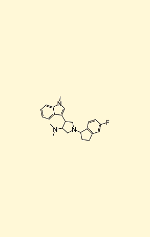 CN(C)C1CN(C2CCc3cc(F)ccc32)CC1c1cn(C)c2ccccc12